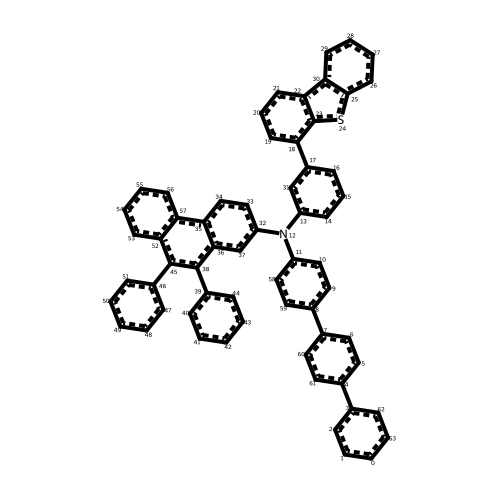 c1ccc(-c2ccc(-c3ccc(N(c4cccc(-c5cccc6c5sc5ccccc56)c4)c4ccc5c(c4)c(-c4ccccc4)c(-c4ccccc4)c4ccccc45)cc3)cc2)cc1